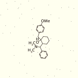 COc1ccc(CC2(O)CCCCC2C(c2ccccc2)N(C)C)cc1